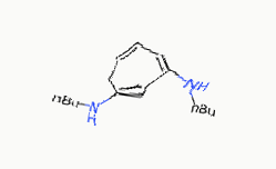 CCCCNc1cccc(NCCCC)c1